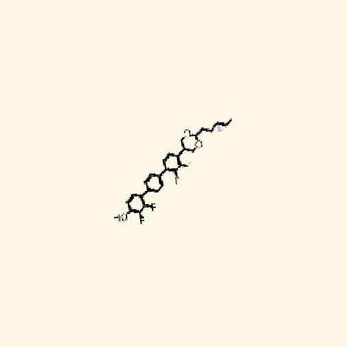 C/C=C/CCC1OCC(c2ccc(-c3ccc(-c4ccc(O)c(F)c4F)cc3)c(F)c2F)CO1